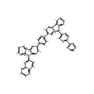 c1ccc(-c2ccc(-n3c4ccccc4c4ccc(-c5ccc(-c6ccc7c(c6)c6ccccc6n7-c6ccc7ccccc7c6)cc5)cc43)cc2)cc1